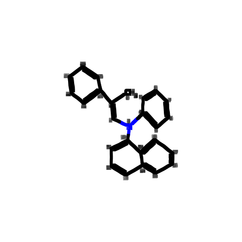 CC(=CN(c1ccccc1)c1cccc2ccccc12)c1ccccc1